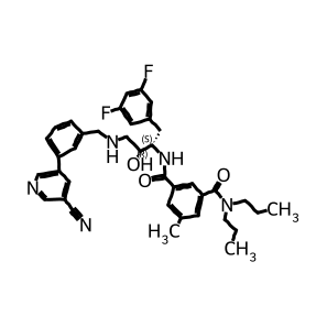 CCCN(CCC)C(=O)c1cc(C)cc(C(=O)N[C@@H](Cc2cc(F)cc(F)c2)[C@H](O)CNCc2cccc(-c3cncc(C#N)c3)c2)c1